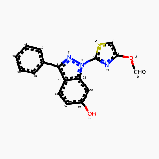 O=COc1csc(-n2nc(-c3ccccc3)c3ccc(O)cc32)n1